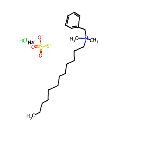 CCCCCCCCCCCC[N+](C)(C)Cc1ccccc1.Cl.O=S(=O)([O-])[S-].[Na+]